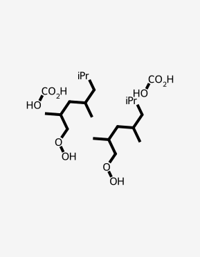 CC(C)CC(C)CC(C)COO.CC(C)CC(C)CC(C)COO.O=C(O)O.O=C(O)O